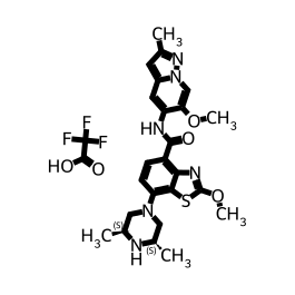 COc1nc2c(C(=O)Nc3cc4cc(C)nn4cc3OC)ccc(N3C[C@H](C)N[C@@H](C)C3)c2s1.O=C(O)C(F)(F)F